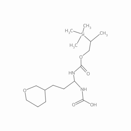 CC(COC(=O)NC(CCC1CCCOC1)NC(=O)O)[Si](C)(C)C